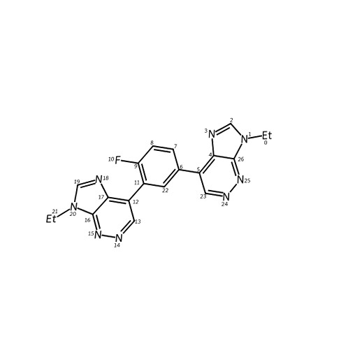 CCn1cnc2c(-c3ccc(F)c(-c4cnnc5c4ncn5CC)c3)cnnc21